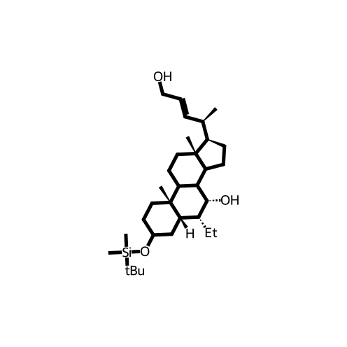 CC[C@H]1[C@@H](O)C2C3CC[C@H]([C@H](C)/C=C/CO)[C@@]3(C)CCC2[C@@]2(C)CCC(O[Si](C)(C)C(C)(C)C)C[C@@H]12